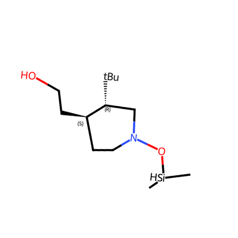 C[SiH](C)ON1CC[C@@H](CCO)[C@H](C(C)(C)C)C1